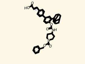 O=C(O)/C=C/c1ccc(-c2ccc(OC(=O)NC3CCN(C(=O)OCc4ccccc4)CC3)c(C34CC5CC(CC(C5)C3)C4)c2)cc1